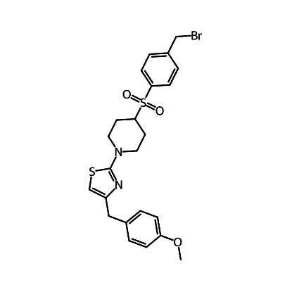 COc1ccc(Cc2csc(N3CCC(S(=O)(=O)c4ccc(CBr)cc4)CC3)n2)cc1